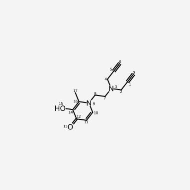 C#CCN(CC#C)CCn1ccc(=O)c(O)c1C